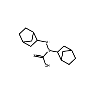 OC(=S)N(NC1CC2CCC1C2)C1CC2CCC1C2